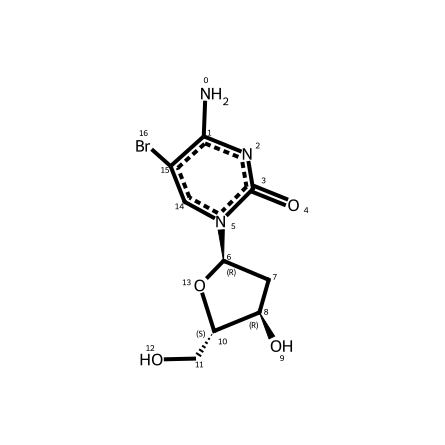 Nc1nc(=O)n([C@H]2C[C@@H](O)[C@H](CO)O2)cc1Br